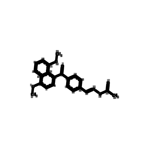 COc1ccc(C(=O)c2ccc(/C=N/OC(C)=O)cc2)c2c(OC)cccc12